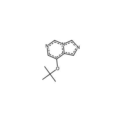 CC(C)(C)Oc1cncn2cncc12